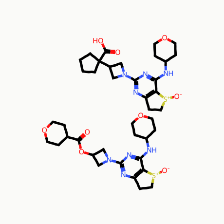 O=C(O)C1(C2CN(c3nc4c(c(NC5CCOCC5)n3)[S+]([O-])CC4)C2)CCCC1.O=C(OC1CN(c2nc3c(c(NC4CCOCC4)n2)[S+]([O-])CC3)C1)C1CCOCC1